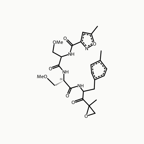 COCC(NC(=O)c1cc(C)on1)C(=O)N[C@@H](COC)C(=O)NC(Cc1ccc(C)cc1)C(=O)C1(C)CO1